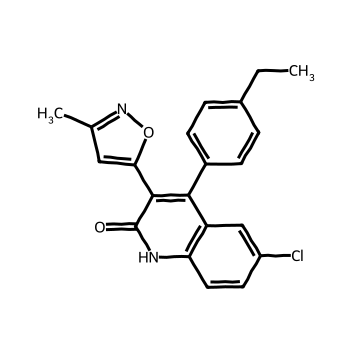 CCc1ccc(-c2c(-c3cc(C)no3)c(=O)[nH]c3ccc(Cl)cc23)cc1